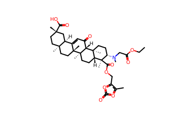 CCOC(=O)CN(C)[C@H]1CC[C@@]2(C)[C@@H](CC[C@]3(C)[C@@H]2C(=O)C=C2[C@@H]4C[C@@](C)(C(=O)O)CC[C@]4(C)CC[C@]23C)[C@]1(C)C(=O)OCc1oc(=O)oc1C